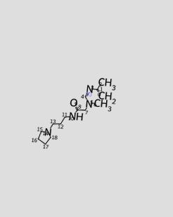 C=C(C)/N=C\N(C)CC(=O)NCCCN1CCCC1